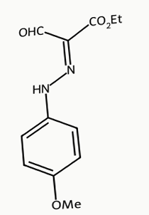 CCOC(=O)/C(C=O)=N/Nc1ccc(OC)cc1